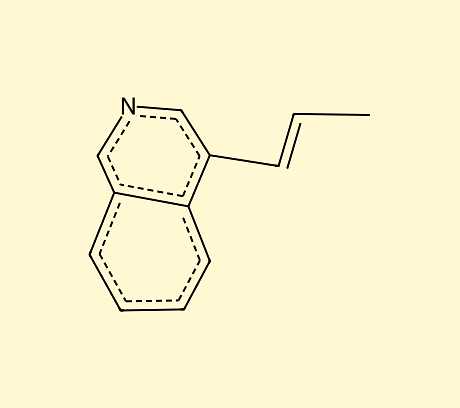 CC=Cc1cncc2ccccc12